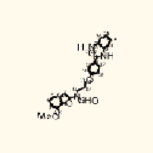 COCc1cccc2cc(N(C=O)CCCOc3ccc(C(=O)Nc4ccccc4N)cc3)oc12